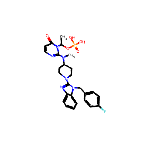 CC(OP(=O)(O)O)n1c(N(C)C2CCN(c3nc4ccccc4n3Cc3ccc(F)cc3)CC2)nccc1=O